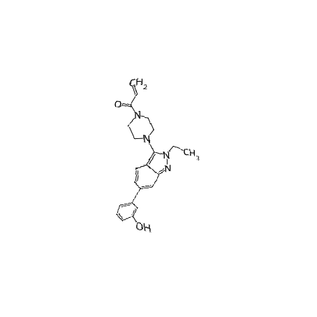 C=CC(=O)N1CCN(c2c3ccc(-c4cccc(O)c4)cc3nn2CC)CC1